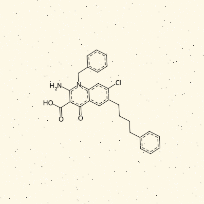 Nc1c(C(=O)O)c(=O)c2cc(CCCCc3ccccc3)c(Cl)cc2n1Cc1ccccc1